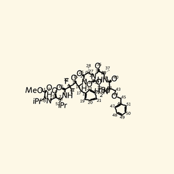 COC(=O)[C@@H](NC(=O)[C@@H](NC(=O)C(F)(F)C(=O)C(Cc1ccccc1)NC(=O)[C@H](C)N(C(=O)OC(C)(C)C)C(=O)[C@H](C)NC(=O)[C@@H](N)COCc1ccccc1)C(C)C)C(C)C